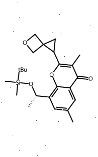 Cc1cc([C@H](C)O[Si](C)(C)C(C)(C)C)c2oc(C3CC34COC4)c(C)c(=O)c2c1